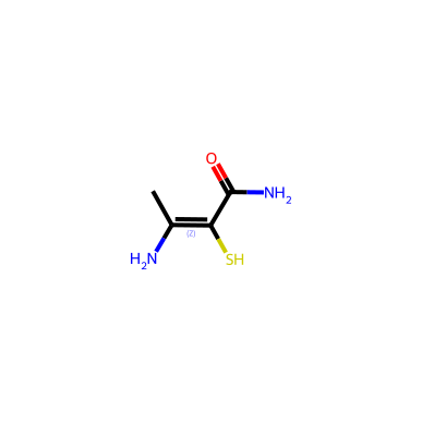 C/C(N)=C(/S)C(N)=O